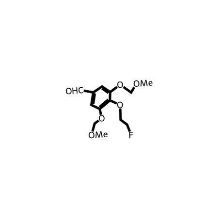 COCOc1cc(C=O)cc(OCOC)c1OCCF